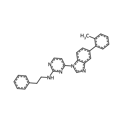 Cc1ccccc1-c1ccc2c(c1)ncn2-c1ccnc(NCCc2ccccc2)n1